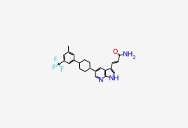 Cc1cc(C2CCC(c3cnc4[nH]cc(C=CC(N)=O)c4c3)CC2)cc(C(F)(F)F)c1